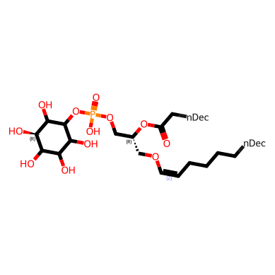 CCCCCCCCCCCCCC/C=C\OC[C@H](COP(=O)(O)OC1C(O)C(O)C(O)[C@@H](O)C1O)OC(=O)CCCCCCCCCCC